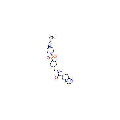 N#CCCN1CCN(S(=O)(=O)c2ccc(CNC(=O)c3ccc4nccn4c3)cc2)CC1